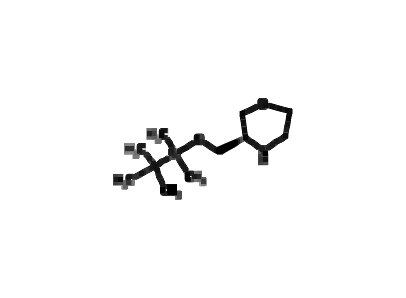 CC(C)(C)[Si](C)(C)OC[C@H]1COCCN1